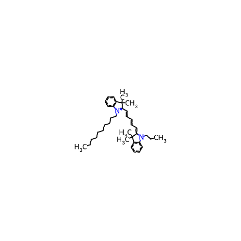 CCCCCCCCCC[N+]1=C(/C=C/C=C/C=C2/N(CCC)c3ccccc3C2(C)C)C(C)(C)c2ccccc21